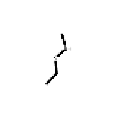 CBSCC